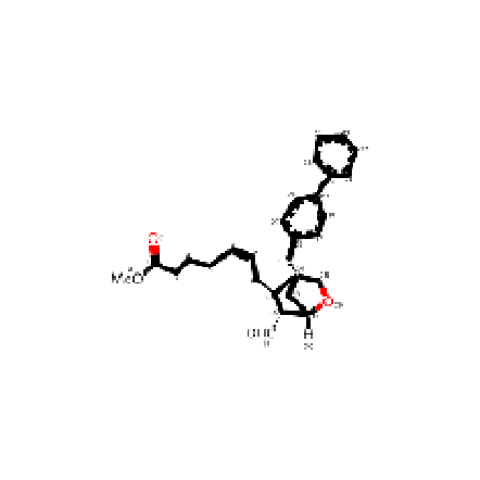 COC(=O)CCC/C=C\C[C@@H]1[C@@H](C=O)[C@@H]2C[C@]1(Cc1ccc(-c3ccccc3)cc1)CO2